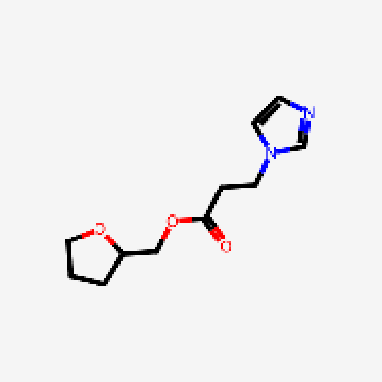 O=C(CCn1ccnc1)OCC1CCCO1